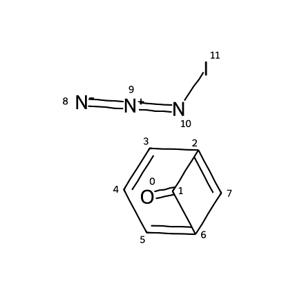 O=C1c2cccc1c2.[N-]=[N+]=NI